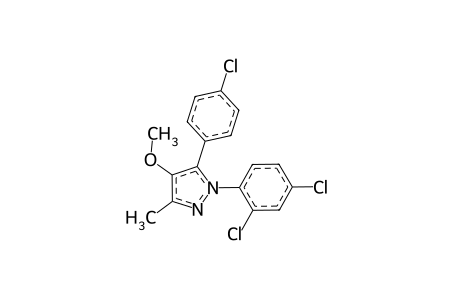 COc1c(C)nn(-c2ccc(Cl)cc2Cl)c1-c1ccc(Cl)cc1